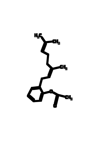 CC(=O)Oc1ccccc1CC=C(C)CCC=C(C)C